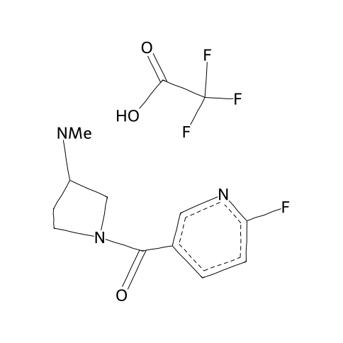 CNC1CCN(C(=O)c2ccc(F)nc2)C1.O=C(O)C(F)(F)F